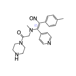 Cc1ccc(/C(N=O)=C(\c2ccncc2)N(C)CC(=O)N2CCNCC2)cc1